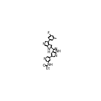 CCC(=O)Nc1cncc(-c2cnc3[nH]nc(-c4cc5c(-c6cc(C)cc(F)c6)cncc5[nH]4)c3c2)c1